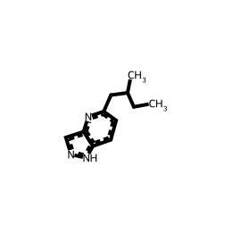 CCC(C)Cc1ccc2[nH]ncc2n1